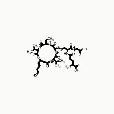 C/C=C1\NC(=O)C(SSCC(NC(=O)CCC(N)C(=O)O)C(=O)NCC(=O)O)NC(=O)C(C(C)C)NC(=O)CC(/C=C/CCS)OC(=O)C(C(C)C)NC1=O